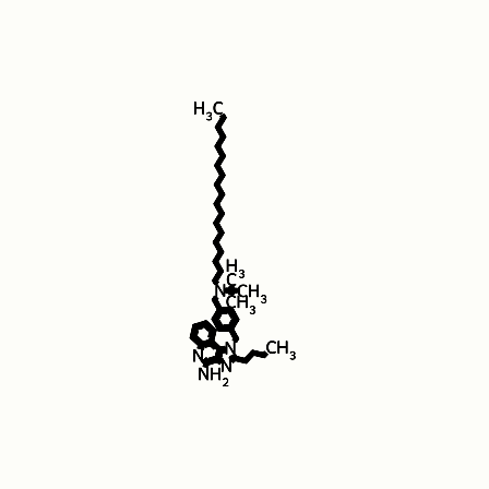 CCCCCCCCCCCCCCCCCCCN(Cc1ccc(Cn2c(CCCC)nc3c(N)nc4ccccc4c32)cc1)C(C)(C)C